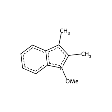 COn1c(C)c(C)c2ccccc21